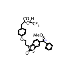 CO/N=C(/c1ccccc1)c1ccc2c(c1)sc(=O)n2CCOc1ccc(CC(OCC(F)(F)F)C(=O)O)cc1